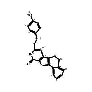 O=c1[nH]c(CNc2ccc(O)cc2)nc2c3c(sc12)-c1ccccc1CC3